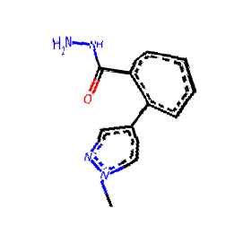 Cn1cc(-c2ccccc2C(=O)NN)cn1